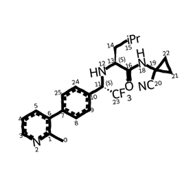 Cc1ncccc1-c1ccc([C@H](N[C@@H](CC(C)C)C(=O)NC2(C#N)CC2)C(F)(F)F)cc1